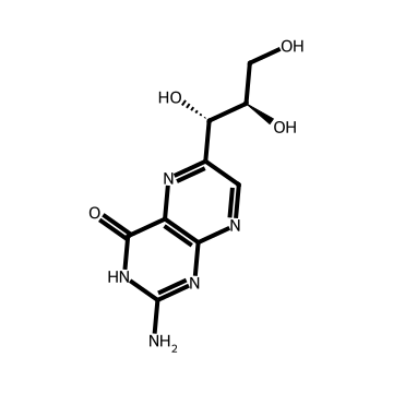 Nc1nc2ncc([C@H](O)[C@H](O)CO)nc2c(=O)[nH]1